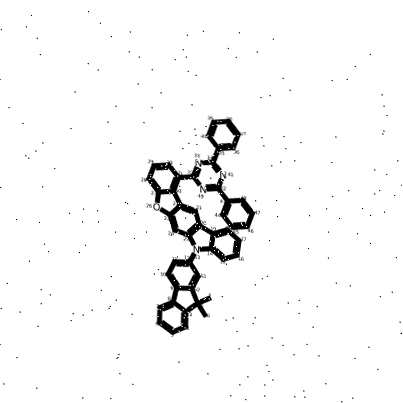 CC1(C)c2ccccc2-c2ccc(-n3c4ccccc4c4cc5c(cc43)oc3cccc(-c4nc(-c6ccccc6)nc(-c6ccccc6)n4)c35)cc21